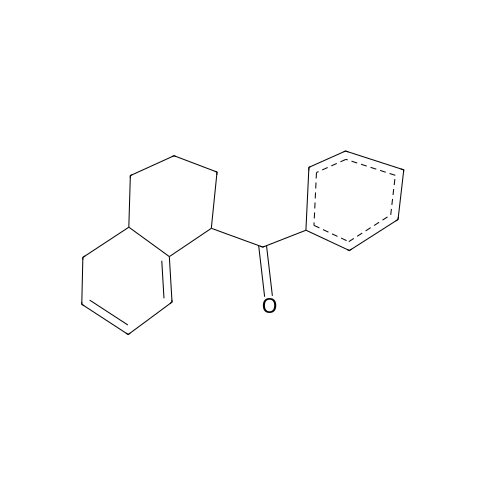 O=C(c1ccccc1)C1CCCC2CC=CC=C21